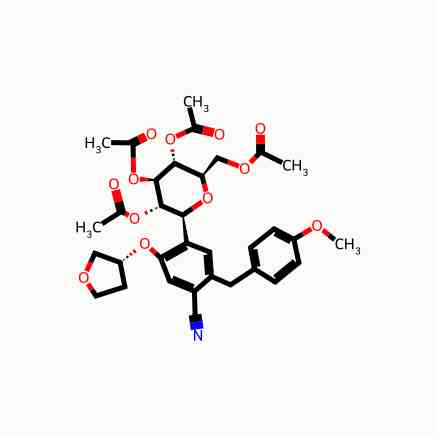 COc1ccc(Cc2cc([C@@H]3O[C@H](COC(C)=O)[C@@H](OC(C)=O)[C@H](OC(C)=O)[C@H]3OC(C)=O)c(O[C@@H]3CCOC3)cc2C#N)cc1